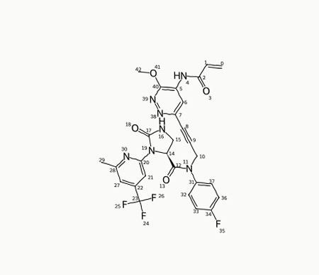 C=CC(=O)Nc1cc(C#CCN(C(=O)[C@@H]2CNC(=O)N2c2cc(C(F)(F)F)cc(C)n2)c2ccc(F)cc2)nnc1OC